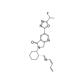 C=C/C=C\N=C\[C@@H]1CCCCC1N1Cc2ncc(-c3nnc(C(C)F)o3)cc2C1=O